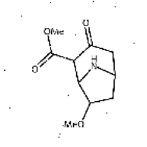 COC(=O)C1C(=O)CC2CC(OC)C1N2